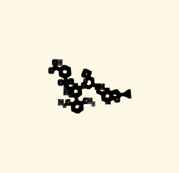 Cc1cccc(C)c1-c1cc(OC[C@@H](CC2(F)CCC2)NCc2cnc3oc(C4CC4)cc3n2)nc(NS(=O)(=O)c2cccc(C(=O)O)c2)n1